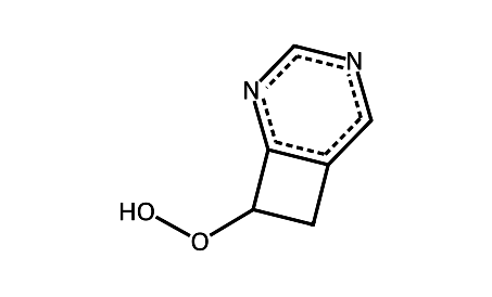 OOC1Cc2cncnc21